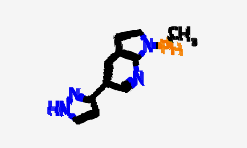 CPn1ccc2cc(-c3cc[nH]n3)cnc21